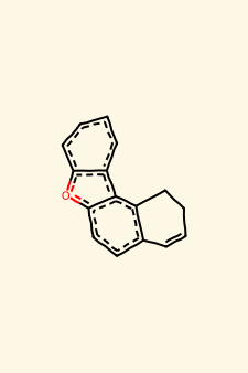 C1=Cc2ccc3oc4ccccc4c3c2CC1